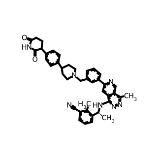 Cc1c(C#N)cccc1[C@@H](C)Nc1nnc(C)c2cnc(-c3cccc(CN4CCC(c5ccc(C6CCC(=O)NC6=O)cc5)CC4)c3)cc12